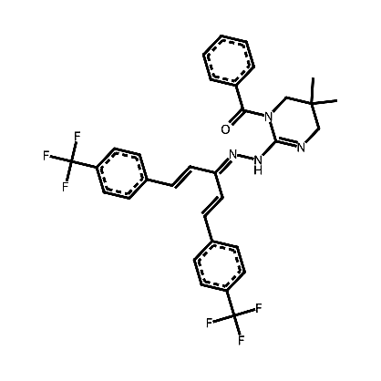 CC1(C)CN=C(NN=C(C=Cc2ccc(C(F)(F)F)cc2)C=Cc2ccc(C(F)(F)F)cc2)N(C(=O)c2ccccc2)C1